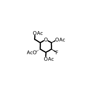 CC(=O)OCC1O[C@@H](OC(C)=O)[C@@H](F)C(OC(C)=O)[C@@H]1OC(C)=O